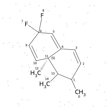 CC1C=CC2=CC(F)(F)C=C[C@]2(C)C1C